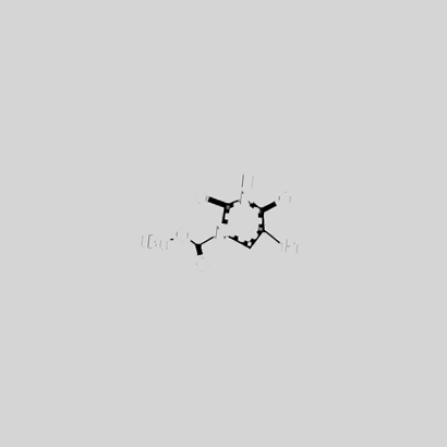 CC(C)c1cn(C(=O)OC(C)(C)C)c(=O)[nH]c1=O